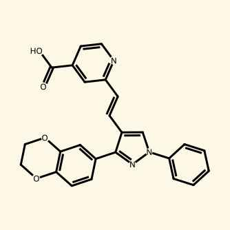 O=C(O)c1ccnc(C=Cc2cn(-c3ccccc3)nc2-c2ccc3c(c2)OCCO3)c1